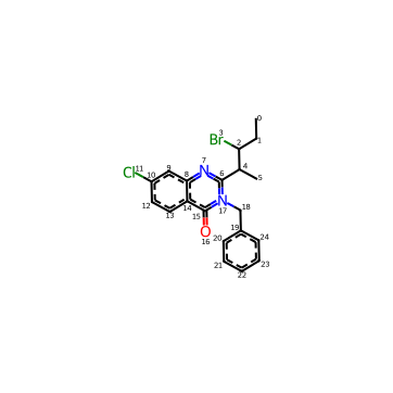 CCC(Br)C(C)c1nc2cc(Cl)ccc2c(=O)n1Cc1ccccc1